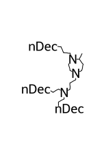 CCCCCCCCCCCCCN1CCN(CCCN(CCCCCCCCCCCC)CCCCCCCCCCCC)CCC1C